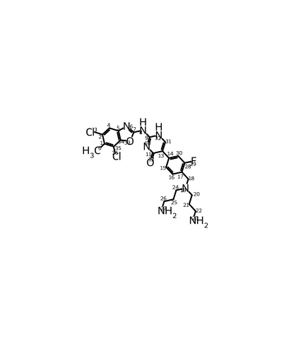 Cc1c(Cl)cc2nc(Nc3nc(=O)c(-c4ccc(CN(CCCN)CCCN)c(F)c4)c[nH]3)oc2c1Cl